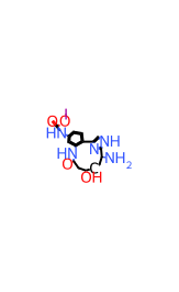 N[C@H]1CCC(O)CC(=O)Nc2cc(NC(=O)OI)ccc2-c2c[nH]c1n2